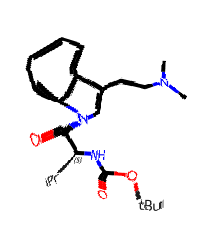 CC(C)[C@H](NC(=O)OC(C)(C)C)C(=O)n1cc(CCN(C)C)c2ccccc21